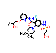 C[Si]1(C)CCN(c2cc(NS(=O)(=O)CCO)cc(F)c2C(=O)Nc2cccc(OC[C@@H](O)C(F)(F)F)n2)CC1